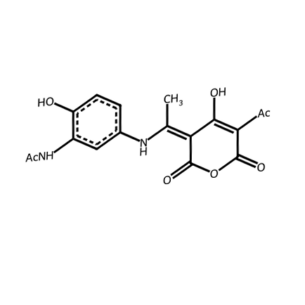 CC(=O)Nc1cc(NC(C)=C2C(=O)OC(=O)C(C(C)=O)=C2O)ccc1O